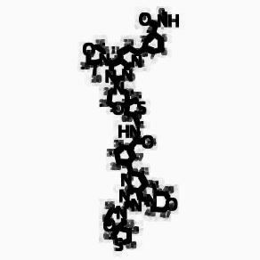 CNC(=O)c1cccc(-c2ccc3c(N4CCOC[C@@H]4C)nc(N4CCOC5(CSC(CNC(=O)c6cccc(-c7ccc8c(N9CCOC[C@@H]9C)nc(N9CCOC%10(CCSC%10)C9)nc8n7)c6)C5)C4)nc3n2)c1